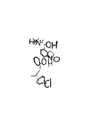 CC(CCC(=O)Oc1ccc(C(O)C(C)NC(C)(C)C)c2c1NC(=O)CC2)c1ccc(Cl)cc1